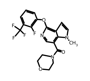 Cn1ccc2c(Oc3cccc(C(F)(F)F)c3F)ncc(C(=O)N3CCOCC3)c21